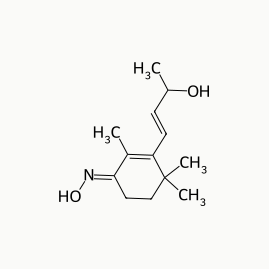 CC1=C(/C=C/C(C)O)C(C)(C)CC/C1=N\O